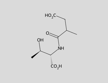 CC(CC(=O)O)C(=O)N[C@H](C(=O)O)[C@@H](C)O